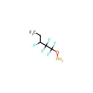 FC(CC(F)(F)F)C(F)(F)C(F)(F)OP